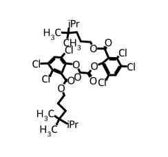 CC(C)C(C)(C)CCCOC(=O)c1c(Cl)c(Cl)cc(Cl)c1OC(=O)C(=O)Oc1c(Cl)cc(Cl)c(Cl)c1C(=O)OCCCC(C)(C)C(C)C